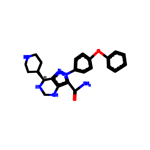 NC(=O)c1c2c(nn1-c1ccc(Oc3ccccc3)cc1)[C@H](C1CCNCC1)NCN2